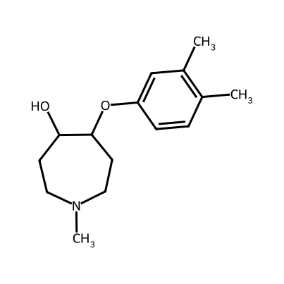 Cc1ccc(OC2CCN(C)CCC2O)cc1C